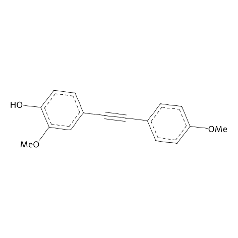 COc1ccc(C#Cc2ccc(O)c(OC)c2)cc1